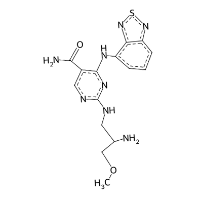 COCC(N)CNc1ncc(C(N)=O)c(Nc2cccc3nsnc23)n1